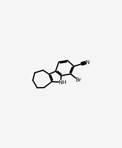 N#Cc1ccc2c3c([nH]c2c1Br)CCCCC3